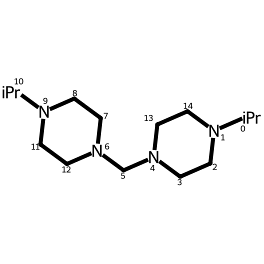 CC(C)N1CCN(CN2CCN(C(C)C)CC2)CC1